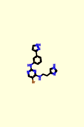 Brc1cnc(Nc2cccc(-c3cc[nH]n3)c2)nc1NCCc1c[nH]cn1